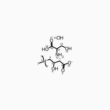 C[N+](C)(C)CC(O)CC(=O)[O-].Cl.NC(CO)C(=O)O